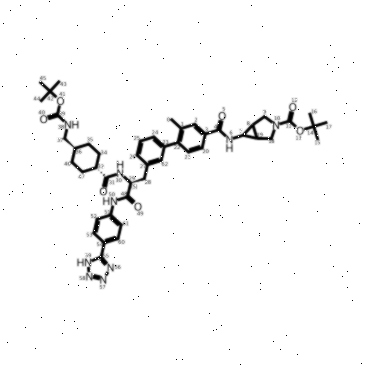 Cc1cc(C(=O)NC2C3CN(C(=O)OC(C)(C)C)CC32)ccc1-c1cccc(C[C@H](NC(=O)[C@H]2CC[C@H](CNC(=O)OC(C)(C)C)CC2)C(=O)Nc2ccc(-c3nnn[nH]3)cc2)c1